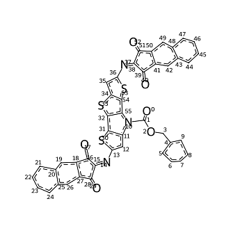 O=C(OCc1ccccc1)n1c2cc(N=c3c(=O)c4cc5ccccc5cc4c3=O)sc2c2sc3cc(N=c4c(=O)c5cc6ccccc6cc5c4=O)sc3c21